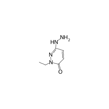 CCn1nc(NN)ccc1=O